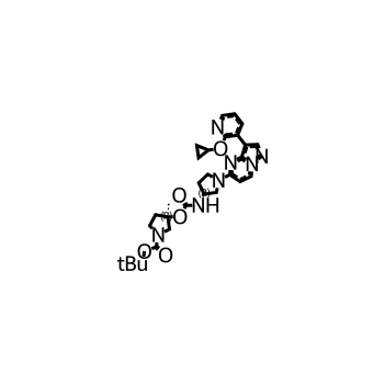 CC(C)(C)OC(=O)N1CC[C@@](C)(OC(=O)N[C@@H]2CCN(c3ccn4ncc(-c5cccnc5OC5CC5)c4n3)C2)C1